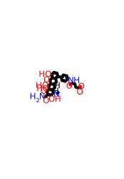 COC(=O)CCC(=O)Nc1ccc(-c2ccc(O)c3c2C[C@H]2C[C@H]4C(N(C)C)C(O)=C(C(N)=O)C(=O)[C@@]4(O)C(O)=C2C3=O)cc1